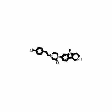 Cn1c2c(c3ccc(N4CCN(CCc5ccc(Cl)cc5)CC4=O)cc31)CNCC2